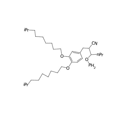 CCCC(OP)C(C#N)Cc1ccc(OCCCCCCCC(C)C)c(OCCCCCCCC(C)C)c1